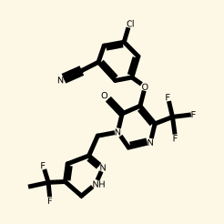 CC(F)(F)C1=CC(Cn2cnc(C(F)(F)F)c(Oc3cc(Cl)cc(C#N)c3)c2=O)=NNC1